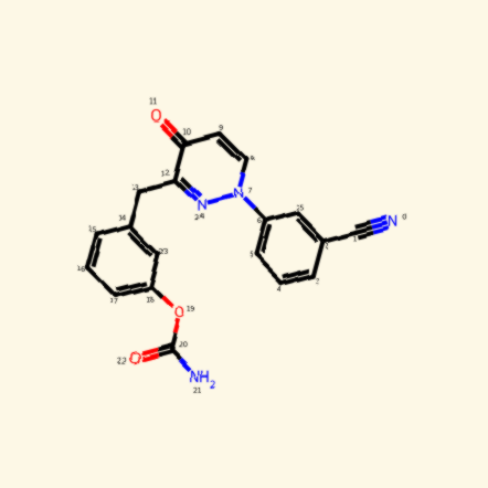 N#Cc1cccc(-n2ccc(=O)c(Cc3cccc(OC(N)=O)c3)n2)c1